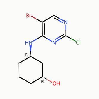 O[C@@H]1CCC[C@@H](Nc2nc(Cl)ncc2Br)C1